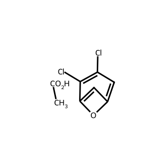 CC(=O)O.Clc1cc2cc(c1Cl)O2